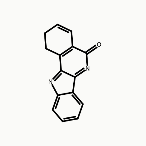 O=C1N=C2C(=Nc3ccccc32)C2=C1C=CCC2